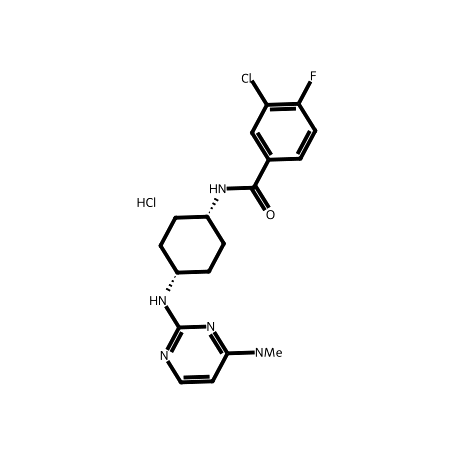 CNc1ccnc(N[C@H]2CC[C@@H](NC(=O)c3ccc(F)c(Cl)c3)CC2)n1.Cl